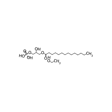 CCCCCCCCCCCCCC(=O)OCC(O)COP(=O)(O)O.CCO